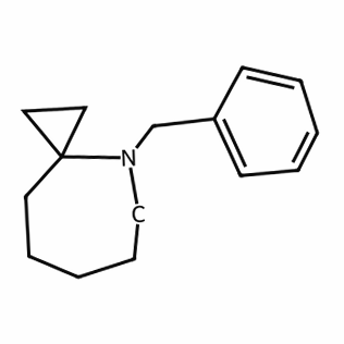 c1ccc(CN2CCCCCC23CC3)cc1